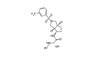 CCC[C@H](NC(C)C)C(=O)N[C@@H]1CC[C@H]2CN(S(=O)(=O)c3cccc(C(F)(F)F)c3)C[C@H]21